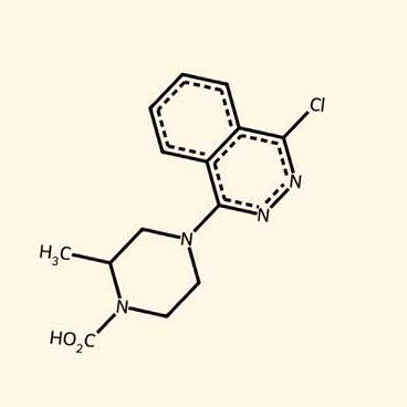 CC1CN(c2nnc(Cl)c3ccccc23)CCN1C(=O)O